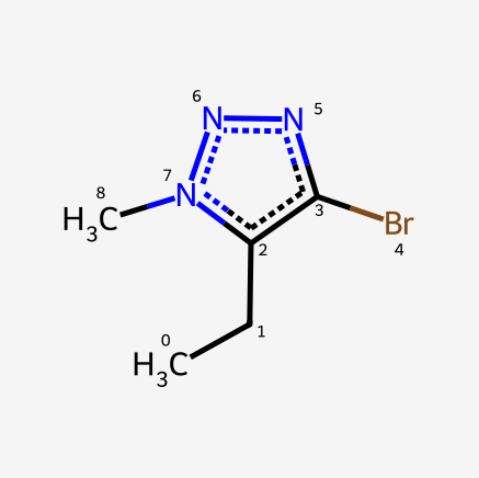 CCc1c(Br)nnn1C